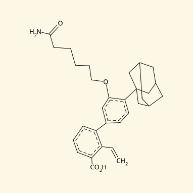 C=Cc1c(C(=O)O)cccc1-c1ccc(C23CC4CC(CC(C4)C2)C3)c(OCCCCCC(N)=O)c1